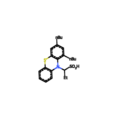 CCCCc1cc(CCCC)c2c(c1)Sc1ccccc1N2C(CC)S(=O)(=O)O